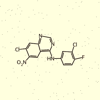 O=[N+]([O-])c1cc2c(Nc3ccc(F)c(Cl)c3)ncnc2cc1Cl